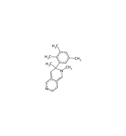 Cc1cc(C)c(C)c(C2(C)C=c3cnccc3=CN2C)c1